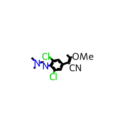 COC(C)=C(C#N)c1cc(Cl)c(N=CN(C)C)c(Cl)c1